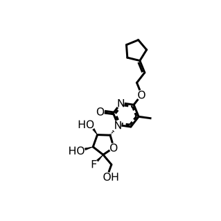 Cc1cn([C@@H]2O[C@](F)(CO)[C@@H](O)[C@H]2O)c(=O)nc1OCC=C1CCCC1